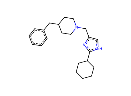 c1ccc(CC2CCN(Cc3c[nH]c(C4CCCCC4)n3)CC2)cc1